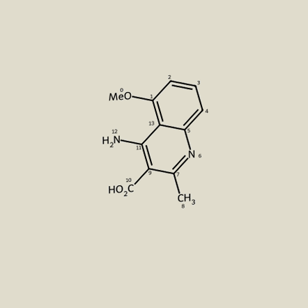 COc1cccc2nc(C)c(C(=O)O)c(N)c12